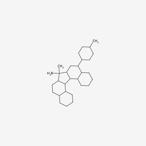 BC1(C)C2CCC3CCCCC3C2C2C3CCCCC3C(C3CCC(C)CC3)CC21